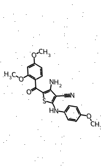 COc1ccc(Nc2sc(C(=O)c3ccc(OC)cc3OC)c(N)c2C#N)cc1